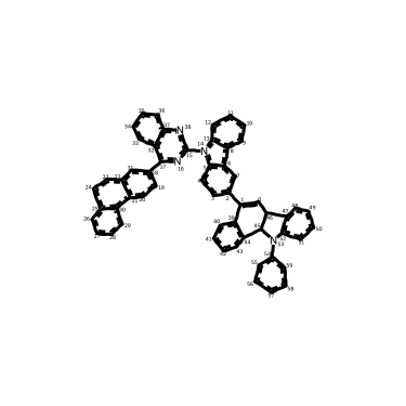 C1=C(c2ccc3c(c2)c2ccccc2n3-c2nc(-c3ccc4c(ccc5ccccc54)c3)c3ccccc3n2)c2ccccc2C2C1c1ccccc1N2c1ccccc1